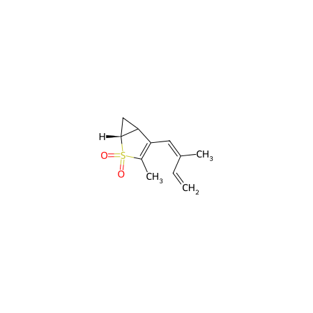 C=C/C(C)=C\C1=C(C)S(=O)(=O)[C@@H]2CC12